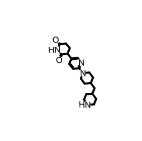 O=C1CCC(c2ccc(N3CCC(CC4CCNCC4)CC3)nc2)C(=O)N1